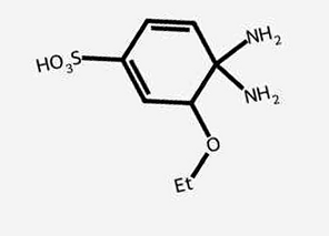 CCOC1C=C(S(=O)(=O)O)C=CC1(N)N